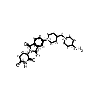 NC1CCN(CC2CCN(c3ccc4c(c3)C(=O)N(C3CCC(=O)NC3=O)C4=O)CC2)CC1